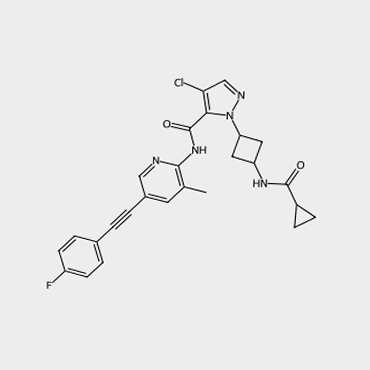 Cc1cc(C#Cc2ccc(F)cc2)cnc1NC(=O)c1c(Cl)cnn1C1CC(NC(=O)C2CC2)C1